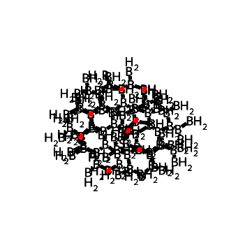 BBB(B)B(B(B)B)B(B(B(B(B)B)B(B)B)B(B(B)B)B(B)B)B(B(B(B(B)B)B(B)B)B(B(B)B)B(B)B)P(=S)(I)B(B(B(B(B(B)B)B(B)B)B(B(B)B)B(B)B)B(B(B(B)B)B(B)B)B(B(B)B)B(B)B)B(B(B(B(B)B)B(B)B)B(B(B)B)B(B)B)B(B(B(B)B)B(B)B)B(B(B)B)B(B)B